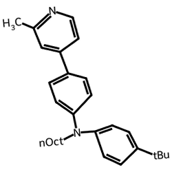 CCCCCCCCN(c1ccc(-c2ccnc(C)c2)cc1)c1ccc(C(C)(C)C)cc1